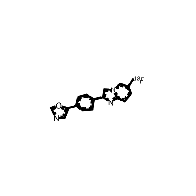 [18F]Cc1ccc2nc(-c3ccc(-c4cnco4)cc3)cn2c1